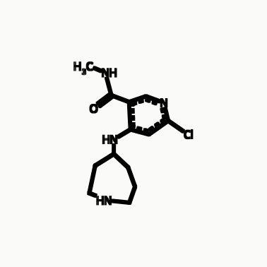 CNC(=O)c1cnc(Cl)cc1NC1CCCNCC1